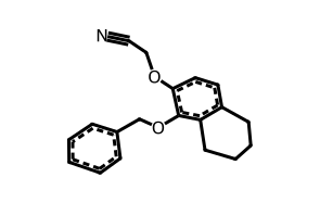 N#CCOc1ccc2c(c1OCc1ccccc1)CCCC2